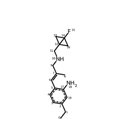 CCc1ccc(/C=C(\C)CNCC23CC2(F)C3)c(N)c1